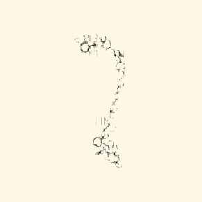 C[C@@H](Oc1cc(-c2cnn(C3CCN(CCOCCOCCOCCNC(=O)COc4cccc5c4C(=O)N(C4CCC(=O)NC4=O)C5=O)CC3)c2)cnc1N)c1c(Cl)ccc(F)c1Cl